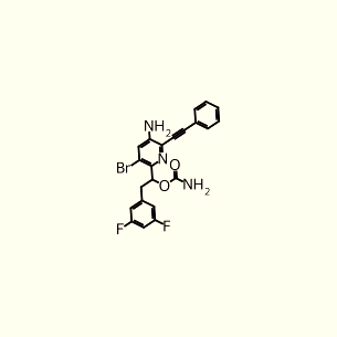 NC(=O)OC(Cc1cc(F)cc(F)c1)c1nc(C#Cc2ccccc2)c(N)cc1Br